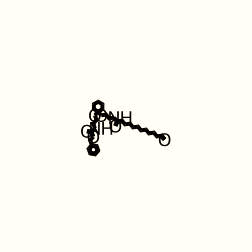 O=CCCCCCCCCCCC(=O)NCCOC1(OCCNC(=O)OCc2ccccc2)CCCCC1